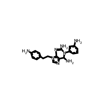 NC1=Nc2c(ncn2CCc2ccc(N)cc2)C(N)N1c1cccc(N)c1